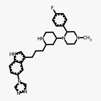 CN1CCN(C2CCNC(CCCc3c[nH]c4ccc(-n5cnnc5)cc34)C2)C(c2ccc(F)cc2)C1